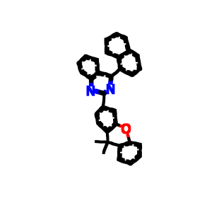 CC1(C)c2ccccc2Oc2cc(-c3nc(-c4cccc5ccccc45)c4ccccc4n3)ccc21